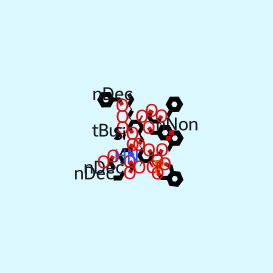 C=CCOC(=O)O[C@@H]1[C@@H](NC(=O)C[C@@H](CCCCCCCCCCC)OC(=O)CCCCCCCCCCC)[C@H](OC[C@H]2O[C@@H](O[Si](C)(C)C(C)(C)C)[C@H](C(=O)C[C@@H](CCCCCCCCCCC)OCc3ccccc3)[C@@H](OC(=O)C[C@@H](CCCCCCCCC)OCc3ccccc3)[C@@H]2OCc2ccccc2)O[C@H](COCc2ccccc2)[C@H]1OP1(=O)OCc2ccccc2CO1